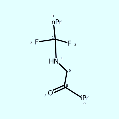 CCCC(F)(F)NCC(=O)C(C)C